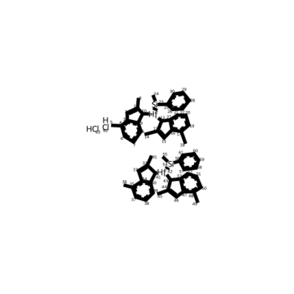 CC1=Cc2c(C)cccc2[CH]1[Hf]([CH]1C(C)=Cc2c(C)cccc21)=[Si](C)c1ccccc1.CC1=Cc2c(C)cccc2[CH]1[Hf]([CH]1C(C)=Cc2c(C)cccc21)=[Si](C)c1ccccc1.Cl.Cl